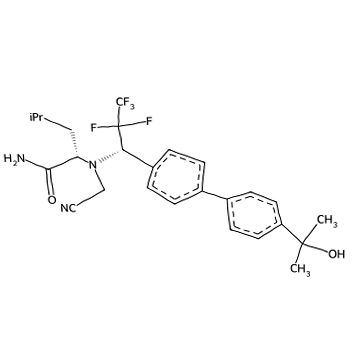 CC(C)C[C@@H](C(N)=O)N(CC#N)[C@@H](c1ccc(-c2ccc(C(C)(C)O)cc2)cc1)C(F)(F)C(F)(F)F